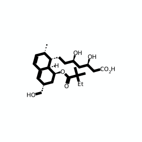 CCC(C)(C)C(=O)O[C@H]1C[C@H](CO)C=C2C=C[C@H](C)[C@H](CC[C@@H](O)C[C@@H](O)CC(=O)O)[C@H]21